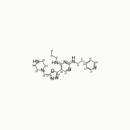 CCCNc1nc(NCCc2ccncc2)ncc1-c1nnc(CN2CCNCC2)o1